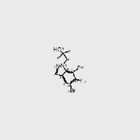 CC(C)(O)Cn1ncc2cc(Br)c(F)c(F)c21